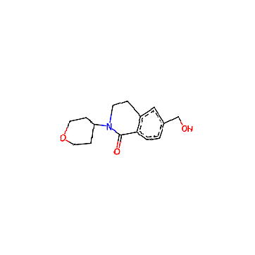 O=C1c2ccc(CO)cc2CCN1C1CCOCC1